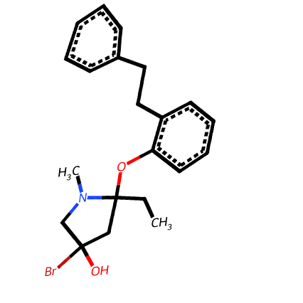 CCC1(Oc2ccccc2CCc2ccccc2)CC(O)(Br)CN1C